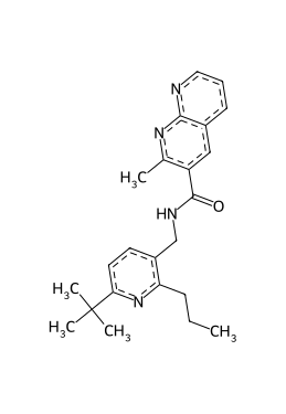 CCCc1nc(C(C)(C)C)ccc1CNC(=O)c1cc2cccnc2nc1C